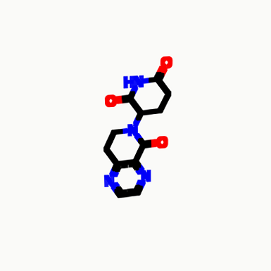 O=C1CCC(N2CCc3nccnc3C2=O)C(=O)N1